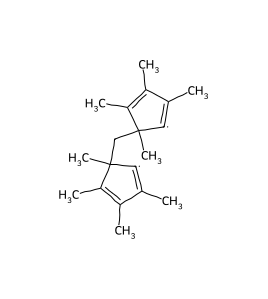 CC1=[C]C(C)(CC2(C)[C]=C(C)C(C)=C2C)C(C)=C1C